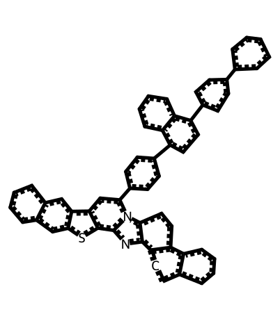 c1ccc(-c2ccc(-c3ccc(-c4ccc(-c5cc6c7cc8ccccc8cc7sc6c6nc7c8ccc9ccccc9c8ccc7n56)cc4)c4ccccc34)cc2)cc1